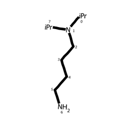 CC(C)N(CCCCN)C(C)C